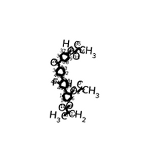 C=C(C)COc1cc(OC(=O)C(=C)C)ccc1-c1ccc(-c2ccc(C(=O)c3ccc(OC(=O)C(=C)C)cc3)cc2)c(F)c1